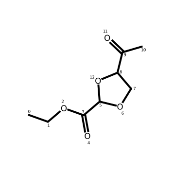 CCOC(=O)C1OCC(C(C)=O)O1